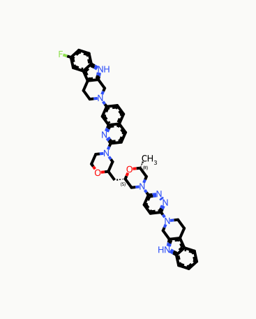 C[C@@H]1CN(c2ccc(N3CCc4c([nH]c5ccccc45)C3)nn2)C[C@H](CC2CN(c3ccc4ccc(N5CCc6c([nH]c7ccc(F)cc67)C5)cc4n3)CCO2)O1